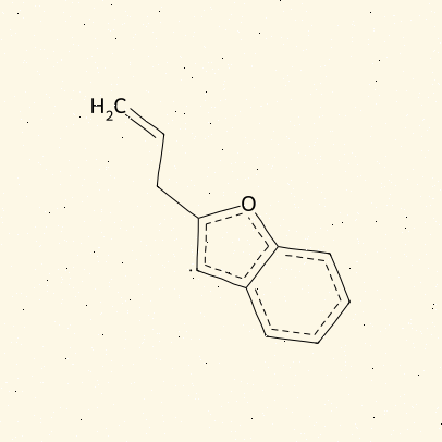 C=CCc1[c]c2ccccc2o1